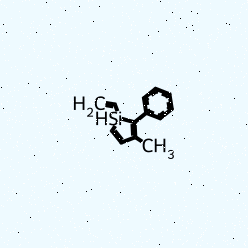 C=C[SiH]1C=CC(C)=C1c1ccccc1